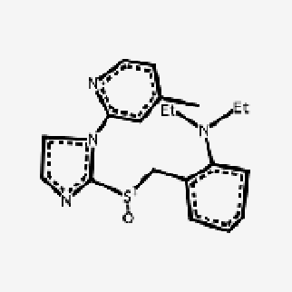 CCN(CC)c1ccccc1C[S+]([O-])c1nccn1-c1cc(C)ccn1